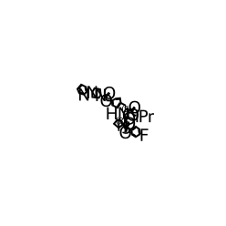 CC(C)OC(=O)[C@H](Cc1ccc(OC(=O)N2CCN(c3ccccn3)CC2)cc1)NC(=O)[C@@H]1CCCN1S(=O)(=O)c1ccc(F)cc1